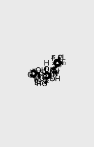 CCN(C)C(=O)C(S[C@@H]1O[C@H](CO)[C@H](O)[C@H](n2cc(-c3cc(F)c(Cl)c(F)c3)nn2)[C@H]1O)C1(O)CCOCC1